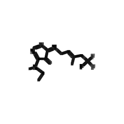 C=C1C(N(C)CC)=NC=N/C1=N/C/C=C(\C)CC(F)(F)F